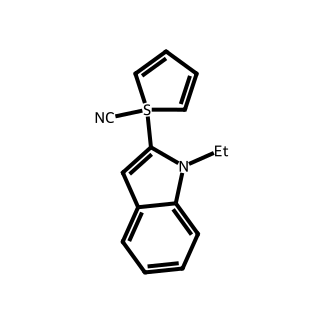 CCn1c(S2(C#N)C=CC=C2)cc2ccccc21